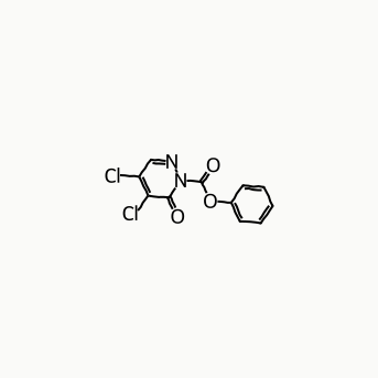 O=C(Oc1ccccc1)n1ncc(Cl)c(Cl)c1=O